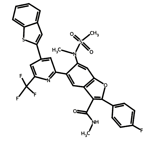 CNC(=O)c1c(-c2ccc(F)cc2)oc2cc(N(C)S(C)(=O)=O)c(-c3cc(-c4cc5ccccc5s4)cc(C(F)(F)F)n3)cc12